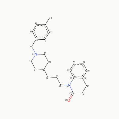 Cc1ccc(CN2CCC(CCCN3C(=O)CCc4ccccc43)CC2)cc1